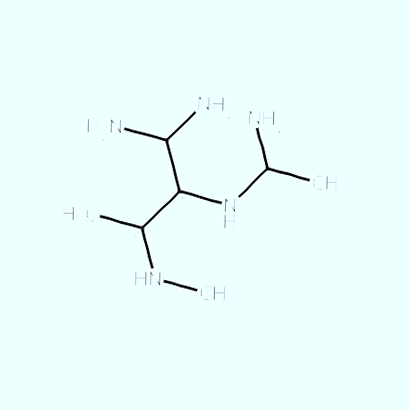 CNC(C)C(NC(C)N)C(N)N